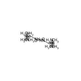 CNc1cc2c(cc1C)nc1cc(C)c(N)cc1[n+]2-c1ccc(CCCCCCNC(=O)c2ccc(-c3ccc(C(=O)NCCCCCCc4ccc(-[n+]5c6cc(N)c(C)cc6nc6cc(C)c(NC)cc65)cc4)cc3)cc2)cc1